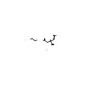 N.NCCNOC(=O)CC(O)(CC(=O)O)C(=O)O